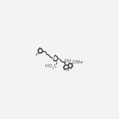 COc1ccc2nccc([C@@H](O)CC[C@@H]3CCN(CCCCc4cccc(F)c4)C[C@@H]3CC(=O)O)c2c1